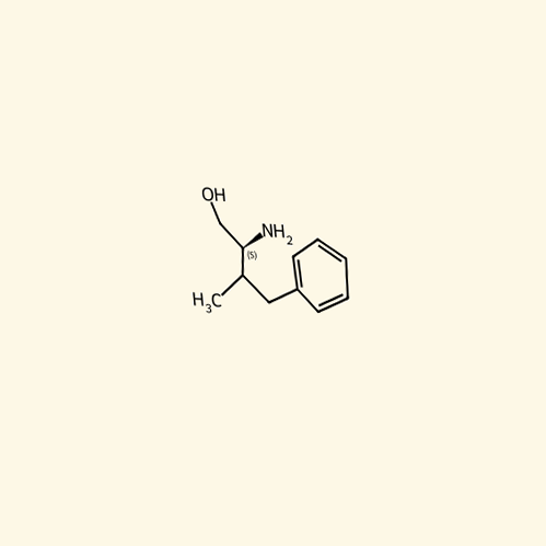 CC(Cc1ccccc1)[C@H](N)CO